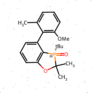 COc1cccc(C)c1-c1cccc2c1[P@](=O)(C(C)(C)C)C(C)(C)O2